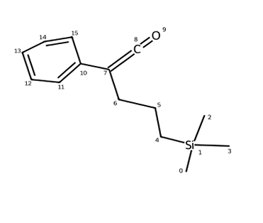 C[Si](C)(C)CCCC(=C=O)c1ccccc1